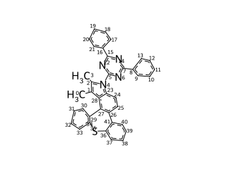 Cc1c(C)n(-c2nc(-c3ccccc3)nc(-c3ccccc3)n2)c2ccc3c(c12)-c1ccccc1Sc1ccccc1-3